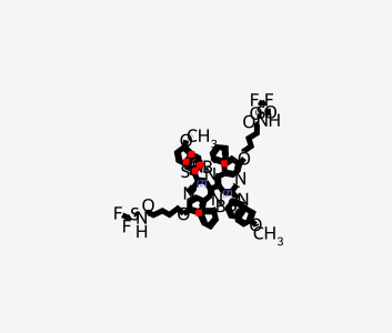 COc1ccc2sc(/C(C#N)=c3/c4c(-c5ccc(OCCCCC(=O)NS(=O)(=O)C(F)F)cc5)n(B(c5ccccc5)c5ccccc5)/c(=C(/C#N)c5nc6cc(OC)ccc6s5)c4c(-c4ccc(OCCCCC(=O)NSC(F)F)cc4)n3B(c3ccccc3)c3ccccc3)nc2c1